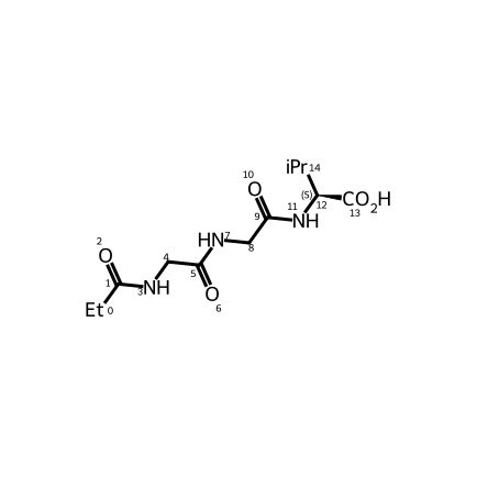 CCC(=O)NCC(=O)NCC(=O)N[C@H](C(=O)O)C(C)C